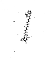 CNc1ccccc1CCCCCCCCCCCCCCC(=O)Cc1c(OC)cc(C)cc1OC